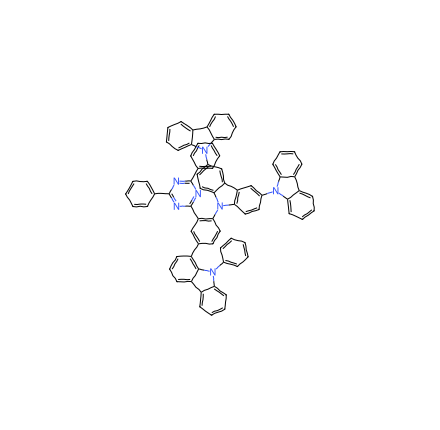 c1ccc(-c2nc(-c3ccccc3)nc(-c3cc(-c4cccc5c6ccccc6n(-c6ccccc6)c45)ccc3-n3c4ccc(-n5c6ccccc6c6ccccc65)cc4c4cc(-n5c6ccccc6c6ccccc65)ccc43)n2)cc1